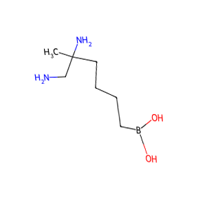 CC(N)(CN)CCCCB(O)O